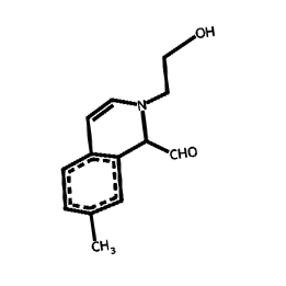 Cc1ccc2c(c1)C(C=O)N(CCO)C=C2